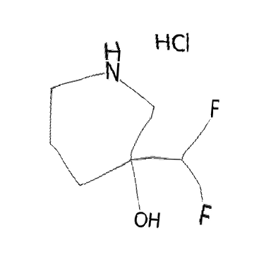 Cl.OC1(C(F)F)CCCNC1